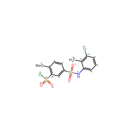 COc1ccc(S(=O)(=O)Nc2cccc(Cl)c2C)cc1S(=O)(=O)Cl